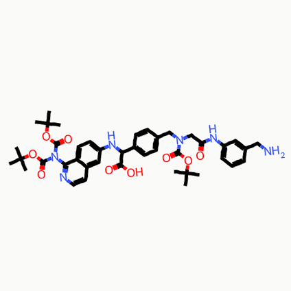 CC(C)(C)OC(=O)N(CC(=O)Nc1cccc(CN)c1)Cc1ccc(C(Nc2ccc3c(N(C(=O)OC(C)(C)C)C(=O)OC(C)(C)C)nccc3c2)C(=O)O)cc1